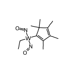 C[CH2][W]([N]=O)([N]=O)[C]1=C(C)C(C)=C(C)C1(C)C